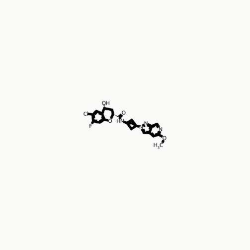 COc1cc2cn(C34CC(NC(=O)[C@H]5C[C@@H](O)c6cc(Cl)c(F)cc6O5)(C3)C4)nc2cn1